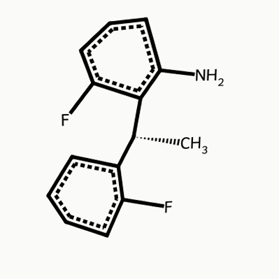 C[C@H](c1ccccc1F)c1c(N)cccc1F